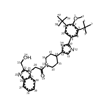 COc1c(C(C)(C)C)cc(-c2ncc(C3CCN(C(=O)Cn4c(CO)nc5ccccc54)CC3)s2)cc1C(C)(C)C